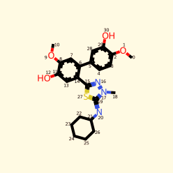 COc1ccc(-c2cc(OC)c(O)cc2-c2nn(C)c(=NC3CCCCC3)s2)cc1O